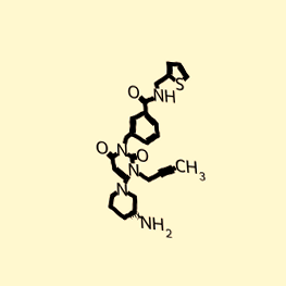 CC#CCn1c(N2CCC[C@@H](N)C2)cc(=O)n(Cc2cccc(C(=O)NCc3cccs3)c2)c1=O